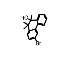 CC1(C)c2ccc(Br)cc2-c2ccccc2C1(C)O